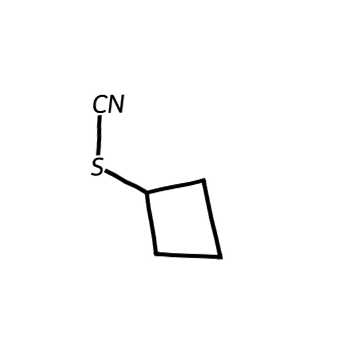 N#CSC1CCC1